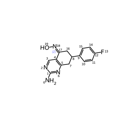 Nc1ncc2c(n1)CC(c1ccc(F)cc1)C/C2=N/O